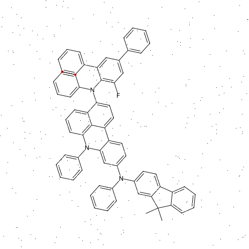 CC1(C)c2ccccc2-c2ccc(N(c3ccccc3)c3ccc4c(c3)N(c3ccccc3)c3cccc5c(N(c6ccccc6)c6c(F)cc(-c7ccccc7)cc6-c6ccccc6)ccc-4c35)cc21